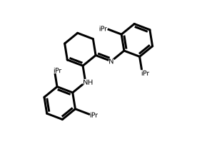 CC(C)c1cccc(C(C)C)c1N=C1CCCC=C1Nc1c(C(C)C)cccc1C(C)C